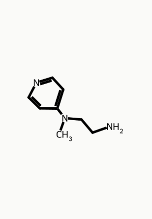 CN(CCN)c1ccncc1